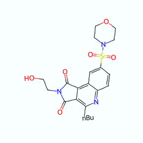 CCCCc1nc2ccc(S(=O)(=O)N3CCOCC3)cc2c2c1C(=O)N(CCO)C2=O